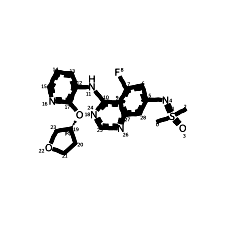 CS(C)(=O)=Nc1cc(F)c2c(Nc3cccnc3O[C@@H]3CCOC3)ncnc2c1